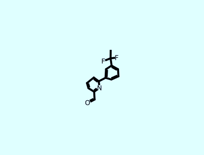 CC(F)(F)c1cccc(-c2cccc(C=O)n2)c1